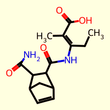 CCC(NC(=O)C1C2C=CC(C2)C1C(N)=O)=C(C)C(=O)O